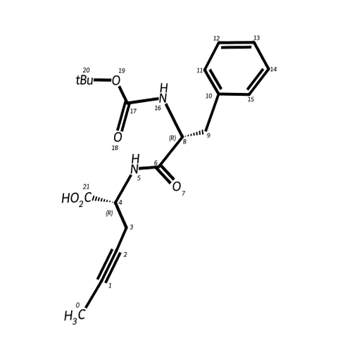 CC#CC[C@@H](NC(=O)[C@@H](Cc1ccccc1)NC(=O)OC(C)(C)C)C(=O)O